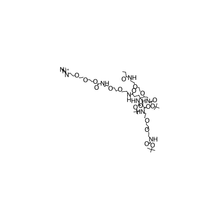 CCC(=O)NCCOCCOC(CNC(=O)OC(C)(C)C)C(CCC(=O)NCCOCCOCCNC(=O)OCCOCCOCCN=[N+]=[N-])(CCC(=O)NCCOCCOCCNC(=O)OC(C)(C)C)NC(=O)OC(C)(C)C